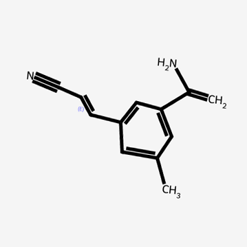 C=C(N)c1cc(C)cc(/C=C/C#N)c1